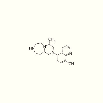 CC1CN(c2ccc(C#N)c3ncccc23)CC2CCNCCN12